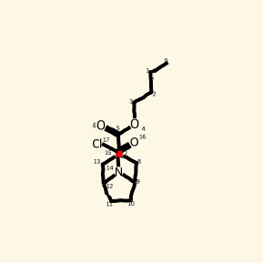 CCCCOC(=O)N1CC2CCC(C1)N2C(=O)Cl